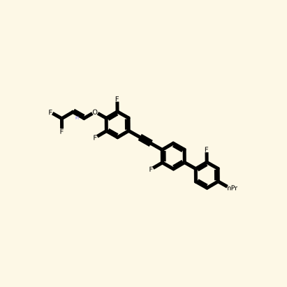 CCCc1ccc(-c2ccc(C#Cc3cc(F)c(O/C=C/C(F)F)c(F)c3)c(F)c2)c(F)c1